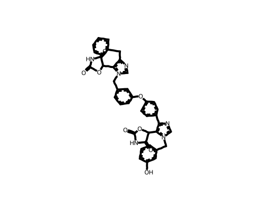 O=C1NC(=O)C(c2c(Cc3ccccc3)ncn2Cc2cccc(Oc3ccc(-c4ncn(Cc5cccc(O)c5)c4C4OC(=O)NC4=O)cc3)c2)O1